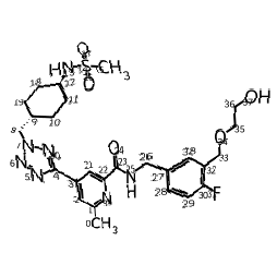 Cc1cc(-c2nnn(C[C@H]3CC[C@H](NS(C)(=O)=O)CC3)n2)cc(C(=O)NCc2ccc(F)c(COCCO)c2)n1